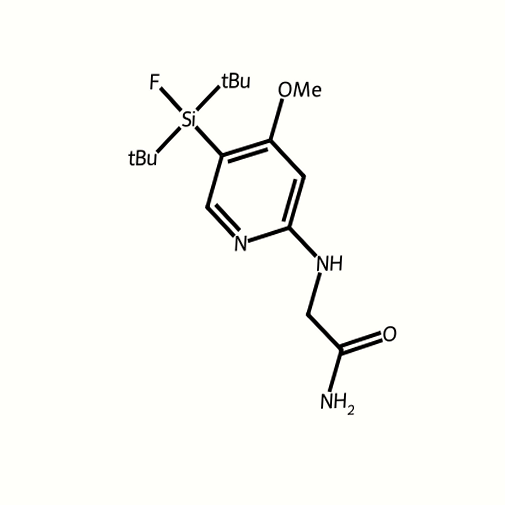 COc1cc(NCC(N)=O)ncc1[Si](F)(C(C)(C)C)C(C)(C)C